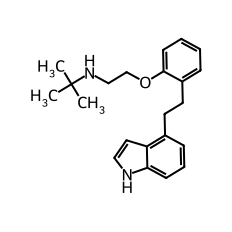 CC(C)(C)NCCOc1ccccc1CCc1cccc2[nH]ccc12